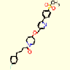 CS(=O)(=O)c1ccc(-c2ccc(COC3CCN(C(=O)CCCc4ccc(F)cc4)CC3)cn2)cc1